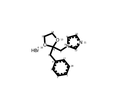 Br.c1ccc(CC2(Cn3ccnc3)OCCO2)cc1